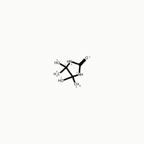 CC1(O)NC(=O)NC1(C)O